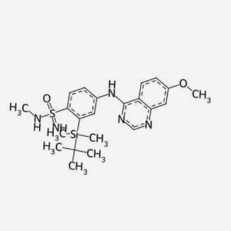 CNS(=N)(=O)c1ccc(Nc2ncnc3cc(OC)ccc23)cc1[Si](C)(C)C(C)(C)C